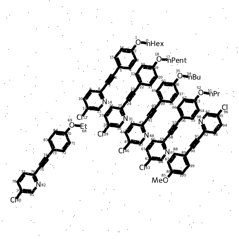 CCCCCCOc1ccc(C#Cc2ccc(Cl)cn2)cc1.CCCCCOc1ccc(C#Cc2ccc(Cl)cn2)cc1.CCCCOc1ccc(C#Cc2ccc(Cl)cn2)cc1.CCCOc1ccc(C#Cc2ccc(Cl)cn2)cc1.CCOc1ccc(C#Cc2ccc(Cl)cn2)cc1.COc1ccc(C#Cc2ccc(Cl)cn2)cc1